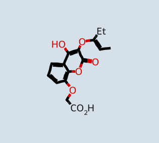 CC=C(CC)Oc1c(O)c2cccc(OCC(=O)O)c2oc1=O